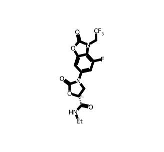 CCNC(=O)[C@H]1CN(c2cc(F)c3c(c2)oc(=O)n3CC(F)(F)F)C(=O)O1